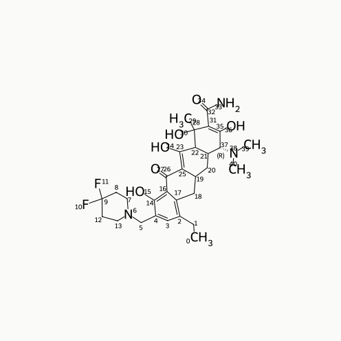 CCc1cc(CN2CCC(F)(F)CC2)c(O)c2c1CC1CC3C(C(O)=C1C2=O)C(C)(O)C(C(N)=O)=C(O)[C@@H]3N(C)C